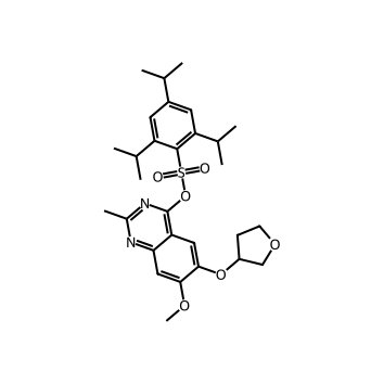 COc1cc2nc(C)nc(OS(=O)(=O)c3c(C(C)C)cc(C(C)C)cc3C(C)C)c2cc1OC1CCOC1